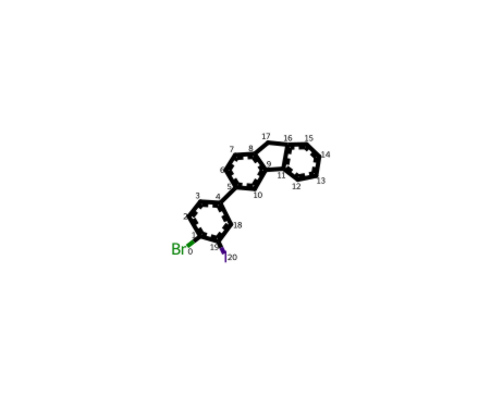 Brc1ccc(-c2ccc3c(c2)-c2ccccc2C3)cc1I